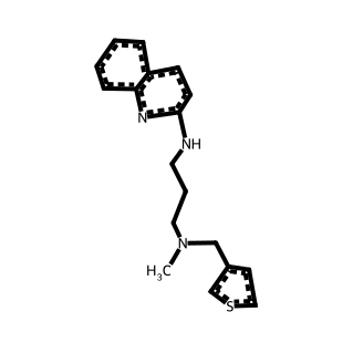 CN(CCCNc1ccc2ccccc2n1)Cc1ccsc1